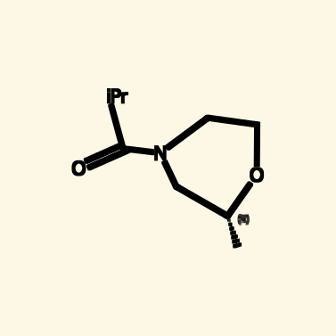 CC(C)C(=O)N1CCO[C@H](C)C1